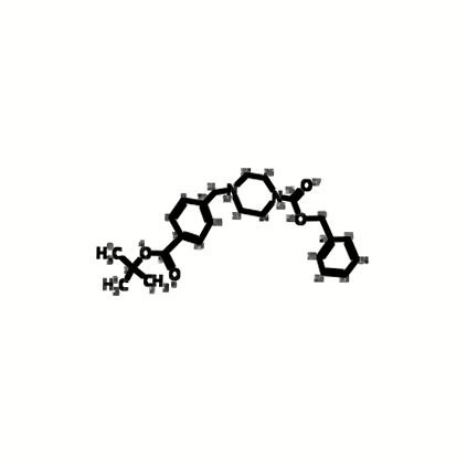 CC(C)(C)OC(=O)c1ccc(CN2CCN(C(=O)OCc3ccccc3)CC2)cc1